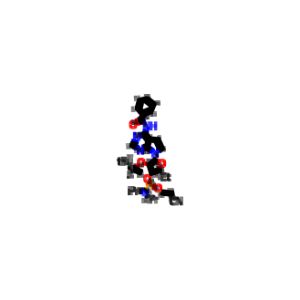 CC[C@H]1O[C@@H](n2ccc3c(NC(=O)c4ccccc4)ncnc32)[C@H](O[Si](C)(C)C(C)(C)C)[C@@H]1OP(OCCC#N)N(C(C)C)C(C)C